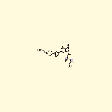 C=C(/C=C(F)\C=C(\F)COC)c1c[nH]c2ncc(-c3cnn(C4CCN(CCO)CC4)c3)cc12